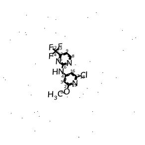 COc1cc(Nc2nccc(C(F)(F)F)n2)cc(Cl)n1